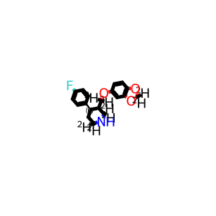 [2H]C1([2H])C[C@@H](c2ccc(F)cc2)C(C([2H])([2H])Oc2ccc3c(c2)OC([2H])([2H])O3)C([2H])([2H])N1